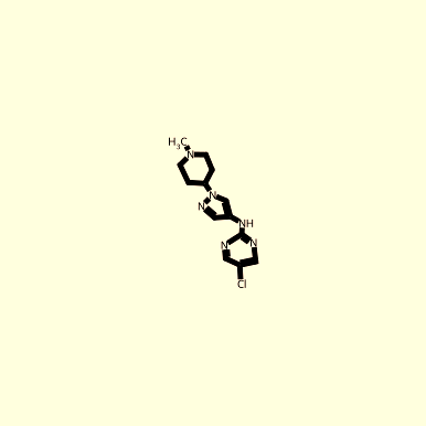 CN1CCC(n2cc(Nc3ncc(Cl)cn3)cn2)CC1